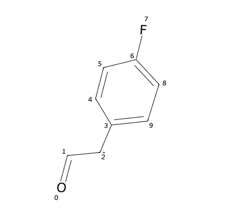 O=C[CH]c1ccc(F)cc1